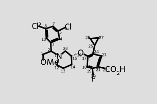 COCC(c1cc(Cl)cc(Cl)c1)N1CCC[C@@H](Oc2cc(F)c(C(=O)O)cc2C2CC2)C1